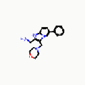 NCC1=C(CN2CCOCC2)N2C=C(c3ccccc3)C=CC2N1